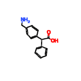 NCc1ccc(C(C(=O)O)c2ccccc2)cc1